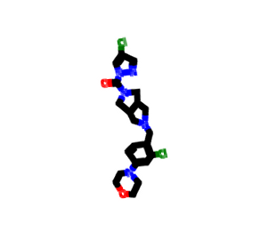 O=C(N1CC2CN(Cc3ccc(N4CCOCC4)cc3Cl)CC2C1)n1cc(Cl)cn1